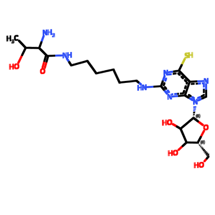 CC(O)C(N)C(=O)NCCCCCCNc1nc(S)c2ncn([C@@H]3O[C@H](CO)C(O)C3O)c2n1